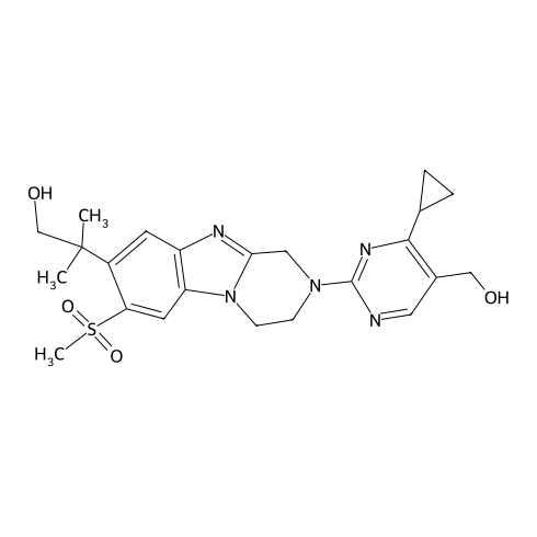 CC(C)(CO)c1cc2nc3n(c2cc1S(C)(=O)=O)CCN(c1ncc(CO)c(C2CC2)n1)C3